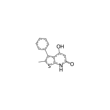 Cc1sc2[nH]c(=O)cc(O)c2c1-c1ccccc1